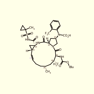 C[C@@H]1CC/C=C\[C@@H]2C[C@@]2(C(=O)NS(=O)(=O)C2(C)CC2)NC(=O)[C@@H]2C[C@@H](N(C(=O)O)c3ccccc3C(F)(F)F)CN2C(=O)[C@@H](NC(=O)OC(C)(C)C)[C@H](C)C1